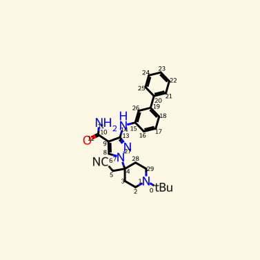 CC(C)(C)N1CCC(CC#N)(n2cc(C(N)=O)c(Nc3cccc(-c4ccccc4)c3)n2)CC1